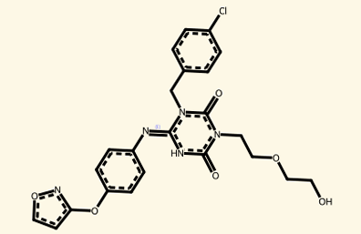 O=c1[nH]/c(=N\c2ccc(Oc3ccon3)cc2)n(Cc2ccc(Cl)cc2)c(=O)n1CCOCCO